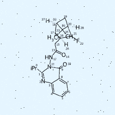 CC(C)c1nc2ccccc2c(=O)n1NC(=O)C[C@H]1C[C@H]2C[C@@H](C1F)C2(C)C